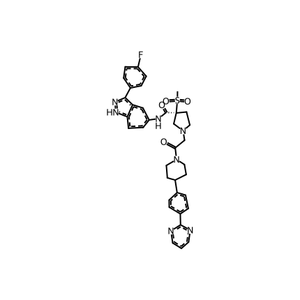 CS(=O)(=O)[C@@]1(C(=O)Nc2ccc3[nH]nc(-c4ccc(F)cc4)c3c2)CCN(CC(=O)N2CCC(c3ccc(-c4ncccn4)cc3)CC2)C1